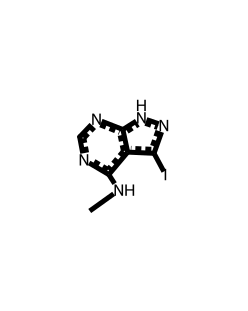 CNc1ncnc2[nH]nc(I)c12